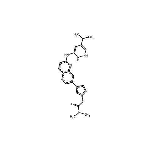 CC(C)C1=CNNC(Nc2ccc3ncc(-c4cnn(CC(=O)N(C)C)c4)cc3n2)=C1